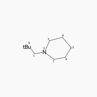 CC(C)(C)CN1CC[CH]CC1